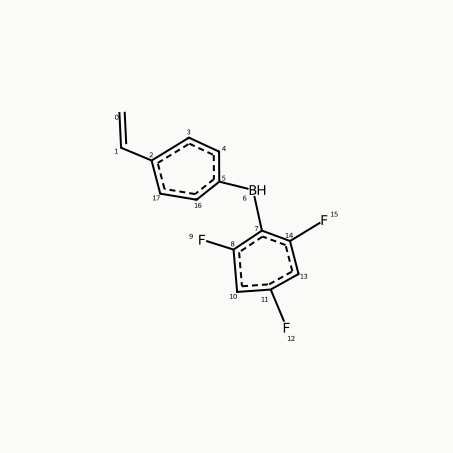 C=Cc1ccc(Bc2c(F)cc(F)cc2F)cc1